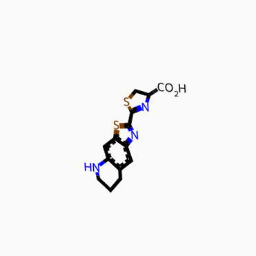 O=C(O)C1CSC(c2nc3cc4c(cc3s2)NCCC4)=N1